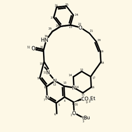 CCOC(=O)[C@@H](OC(C)(C)C)c1c(C)nc2cc3nn2c1N1CCC(CC=CCOc2ccccc2CNC3=O)CC1